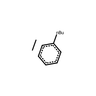 CC.CCCCc1ccccc1